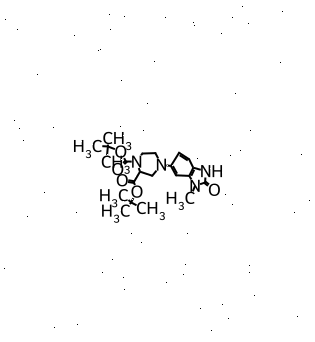 Cn1c(=O)[nH]c2ccc(N3CCN(C(=O)OC(C)(C)C)C(C(=O)OC(C)(C)C)C3)cc21